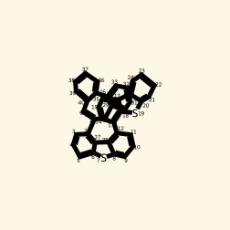 C1=C(c2cccc3sc4cccc(-c5cccc6c5sc5ccccc56)c4c23)Cc2ccccc2-c2ccccc21